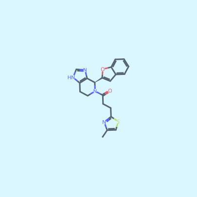 Cc1csc(CCC(=O)N2CCc3[nH]cnc3[C@H]2c2cc3ccccc3o2)n1